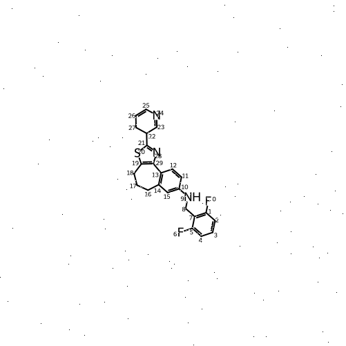 Fc1cccc(F)c1CNc1ccc2c(c1)CCCc1sc(C3C=NC=CC3)nc1-2